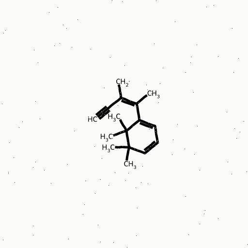 C#CC([CH2])=C(C)C1=CC=CC(C)(C)C1(C)C